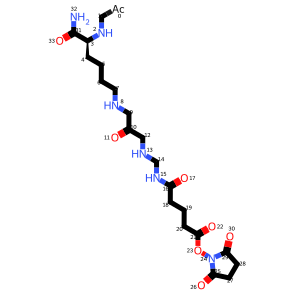 CC(=O)CN[C@@H](CCCCNCC(=O)CNCNC(=O)CCCC(=O)ON1C(=O)CCC1=O)C(N)=O